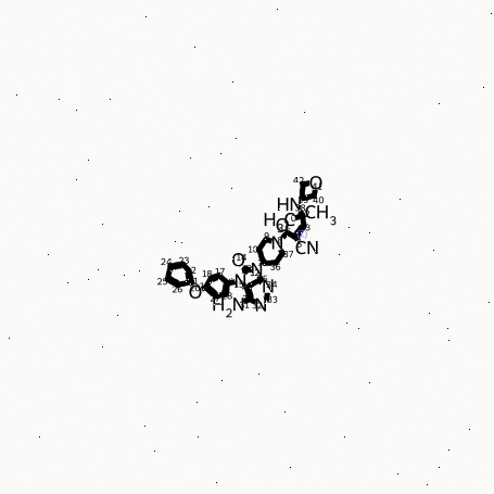 CC(C)(/C=C(/C#N)C(=O)N1CCC(n2c(=O)n(-c3ccc(Oc4ccccc4)cc3)c3c(N)ncnc32)CC1)NC1COC1